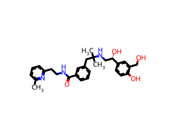 Cc1cccc(CCNC(=O)c2cccc(CC(C)(C)NC[C@H](O)c3ccc(O)c(CO)c3)c2)n1